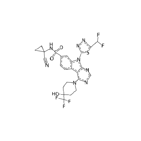 N#CC1(NS(=O)(=O)c2ccc3c4c(N5CCC(O)(C(F)(F)F)CC5)ncnc4n(-c4nnc(C(F)F)s4)c3c2)CC1